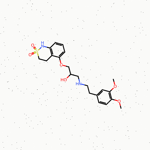 COc1ccc(CCNCC(O)COc2cccc3c2CCS(=O)(=O)N3)cc1OC